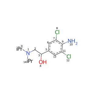 CC(C)N(CC(O)c1cc(Cl)c(N)c(Cl)c1)C(C)C